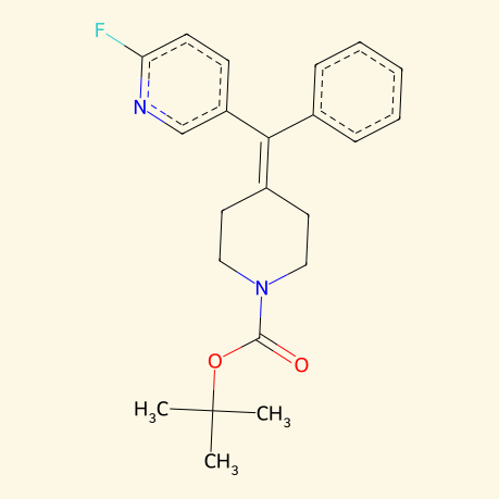 CC(C)(C)OC(=O)N1CCC(=C(c2ccccc2)c2ccc(F)nc2)CC1